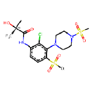 CCS(=O)(=O)c1ccc(NC(=O)[C@@](C)(O)C(F)(F)F)c(Cl)c1N1CCN(S(C)(=O)=O)CC1